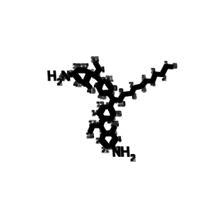 CCCCCCCCCCCC(c1ccc(C(CC)c2ccc(N)cc2C)cc1)c1ccc(C(CC)c2ccc(N)cc2C)cc1